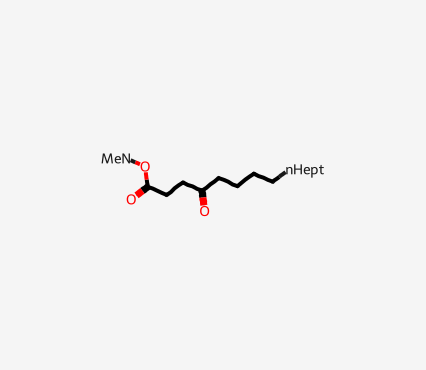 CCCCCCCCCCCC(=O)CCC(=O)ONC